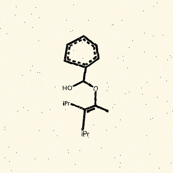 CC(OC(O)c1ccccc1)=C(C(C)C)C(C)C